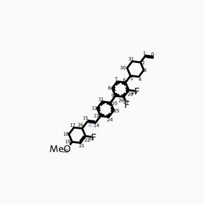 C=CC1CCC(c2ccc(-c3ccc(/C=C/C4CCC(OC)C=C4F)cc3)c(F)c2F)CC1